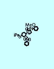 COc1ccccc1NC1CCN([C@H]2CC[C@@H](N(C)C(C)C)C[C@@H]2CS(=O)(=O)c2ccccc2)C1=O